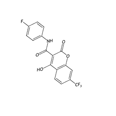 O=C(Nc1ccc(F)cc1)c1c(O)c2ccc(C(F)(F)F)cc2oc1=O